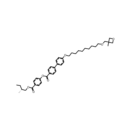 CC[C@@H](C)COC(=O)c1ccc(OC(=O)c2ccc(-c3ccc(OCCCCCCCCCCOCC4(C)COC4)cc3)cc2)cc1